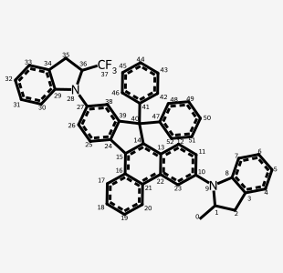 CC1Cc2ccccc2N1c1ccc2c3c(c4ccccc4c2c1)-c1ccc(N2c4ccccc4CC2C(F)(F)F)cc1C3(c1ccccc1)c1ccccc1